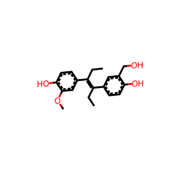 CC/C(=C(/CC)c1ccc(O)c(OC)c1)c1ccc(O)c(CO)c1